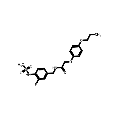 CCCOc1ccc(OCC(=O)NCc2ccc(NS(C)(=O)=O)c(F)c2)cc1